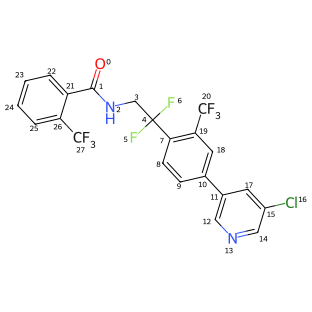 O=C(NCC(F)(F)c1ccc(-c2cncc(Cl)c2)cc1C(F)(F)F)c1ccccc1C(F)(F)F